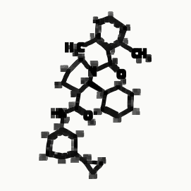 Cc1cccc(C)c1C(=O)N1CCCC(C(=O)Nc2cccc(C3CC3)c2)C1[C@@H]1C=CC=CC1